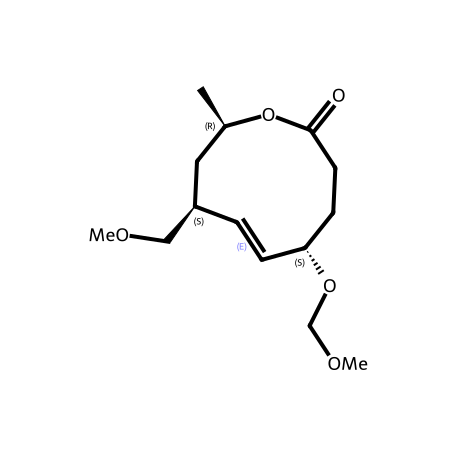 COCO[C@@H]1/C=C/[C@@H](COC)C[C@@H](C)OC(=O)CC1